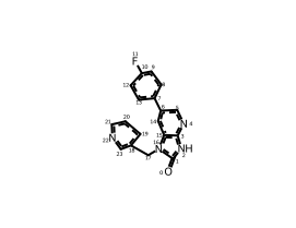 O=c1[nH]c2ncc(-c3ccc(F)cc3)cc2n1Cc1cccnc1